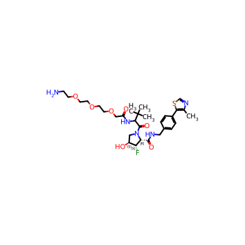 Cc1ncsc1-c1ccc(CNC(=O)[C@@H]2[C@H](F)[C@@H](O)CN2C(=O)C(NC(=O)COCCOCCOCCN)C(C)(C)C)cc1